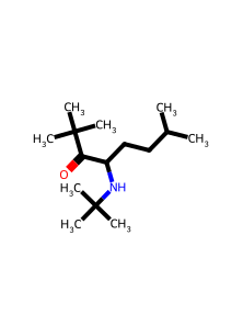 CC(C)CCC(NC(C)(C)C)C(=O)C(C)(C)C